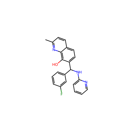 Cc1ccc2ccc(C(Nc3ccccn3)c3cccc(F)c3)c(O)c2n1